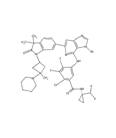 CC(C)n1cnc2cc(-c3ccc4c(c3)N(C3CC(C)(N5CCCCC5)C3)C(=O)C4(C)C)nc(Nc3cc(C(=O)NC4(C(F)F)CC4)c(Cl)c(F)c3F)c21